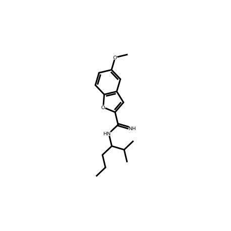 CCCC(NC(=N)c1cc2cc(OC)ccc2o1)C(C)C